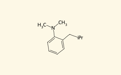 CC(C)Cc1ccccc1N(C)C